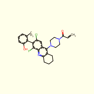 C=CC(=O)N1CCN(c2c3c(nc4c(F)c(-c5c(C)cccc5O)c(Cl)cc24)CCCC3)CC1